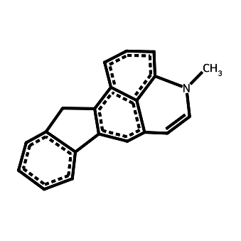 CN1C=Cc2cc3c(c4cccc1c24)Cc1ccccc1-3